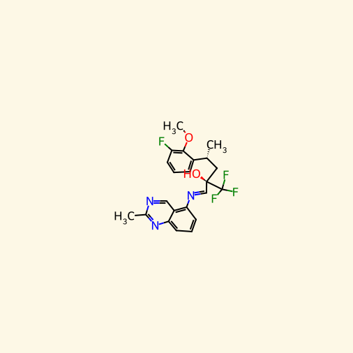 COc1c(F)cccc1[C@H](C)C[C@@](O)(C=Nc1cccc2nc(C)ncc12)C(F)(F)F